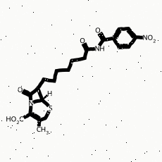 CC1=C(C(=O)O)N2C(=O)C(CCCCCCC(=O)NC(=O)c3ccc([N+](=O)[O-])cc3)[C@@H]2SC1